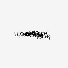 C=C(C)C(=O)OCOc1ccc(C(C)(C)c2ccc(OCC)cc2)cc1